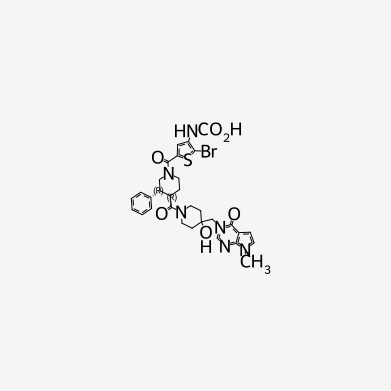 Cn1ccc2c(=O)n(CC3(O)CCN(C(=O)[C@@H]4CCN(C(=O)c5cc(NC(=O)O)c(Br)s5)C[C@H]4c4ccccc4)CC3)cnc21